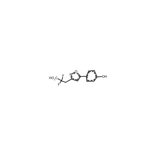 O=C(O)C(F)(F)Cc1cc(-c2ccc(O)cc2)on1